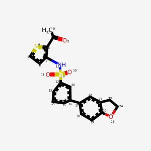 CC(=O)c1sccc1NS(=O)(=O)c1cccc(-c2ccc3c(c2)CCO3)c1